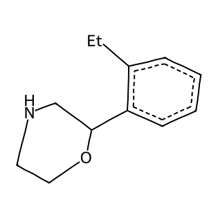 CCc1ccccc1C1CNCCO1